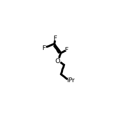 CC(C)CCOC(F)=C(F)F